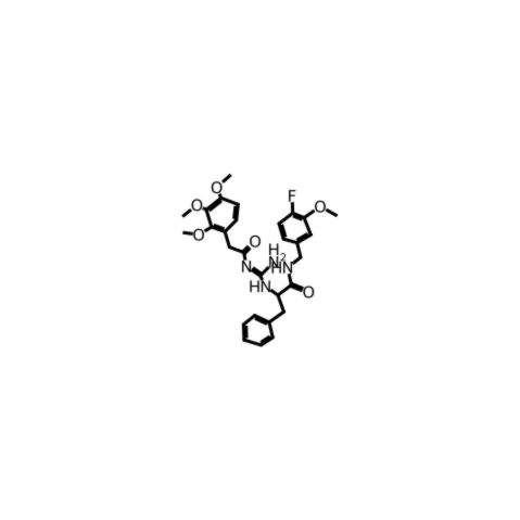 COc1cc(CNC(=O)C(Cc2ccccc2)NC(N)=NC(=O)Cc2ccc(OC)c(OC)c2OC)ccc1F